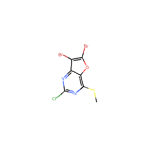 CSc1nc(Cl)nc2c(Br)c(Br)oc12